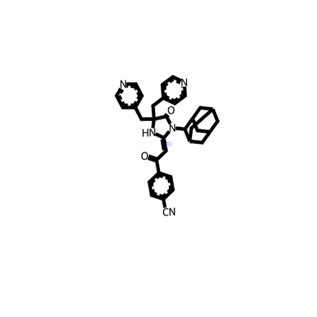 N#Cc1ccc(C(=O)/C=C2\NC(Cc3ccncc3)(Cc3ccncc3)C(=O)N2C2C3CC4CC(C3)CC2C4)cc1